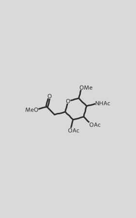 COC(=O)CC1OC(OC)C(NC(C)=O)C(OC(C)=O)C1OC(C)=O